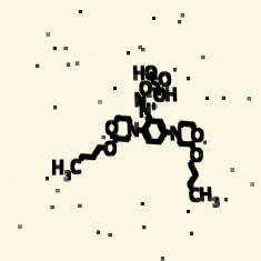 CCCCOC1CN(C2=CC(=[N+]=[N-])C(N3CCOC(OCCCC)C3)=CC2)CCO1.O=S(=O)(O)O